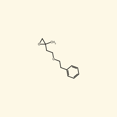 CC1(CCOCCc2ccccc2)CO1